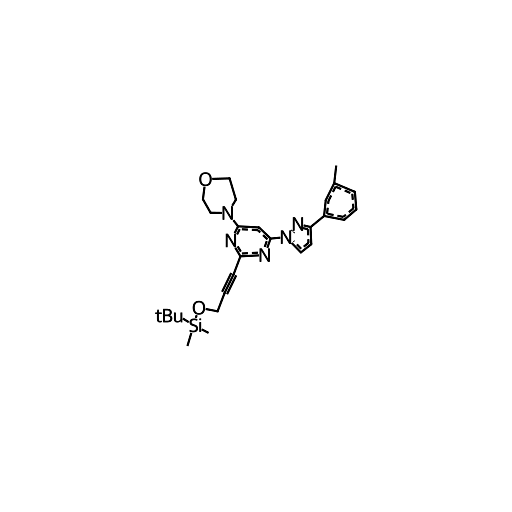 Cc1cccc(-c2ccn(-c3cc(N4CCOCC4)nc(C#CCO[Si](C)(C)C(C)(C)C)n3)n2)c1